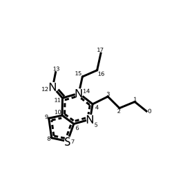 CCCCc1nc2sccc2c(=NC)n1CCC